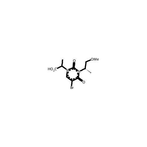 COC[C@H](C)n1c(=O)c(Br)cn(C(C)C(=O)O)c1=O